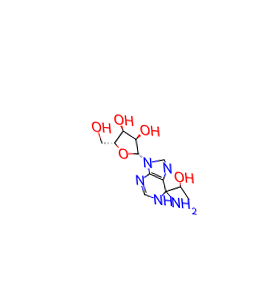 CC(O)C1(N)NC=Nc2c1ncn2[C@@H]1O[C@H](CO)[C@@H](O)[C@H]1O